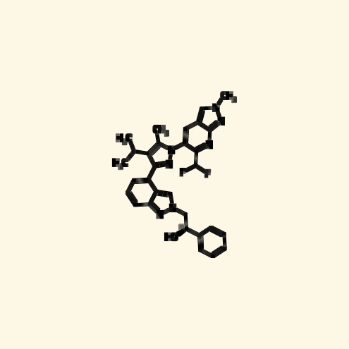 Cc1c(C(C)C)c(-c2cccc3nn(C[C@H](O)c4ccccc4)cc23)nn1-c1cc2cn(C)nc2nc1C(F)F